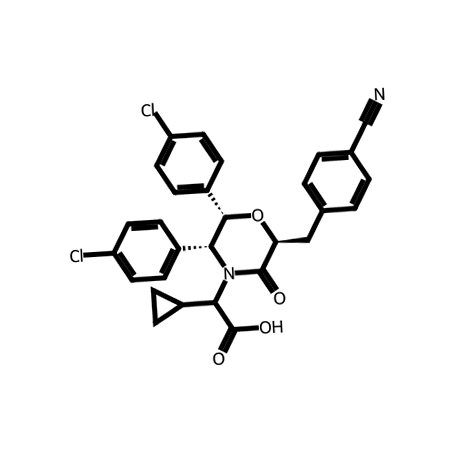 N#Cc1ccc(C[C@@H]2O[C@@H](c3ccc(Cl)cc3)[C@@H](c3ccc(Cl)cc3)N(C(C(=O)O)C3CC3)C2=O)cc1